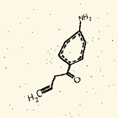 C=CCC(=O)c1ccc(N)cc1